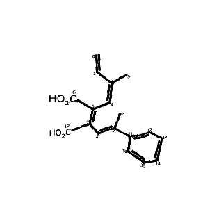 C=CC(C)=CC(C(=O)O)=C(C=C(C)c1ccccc1)C(=O)O